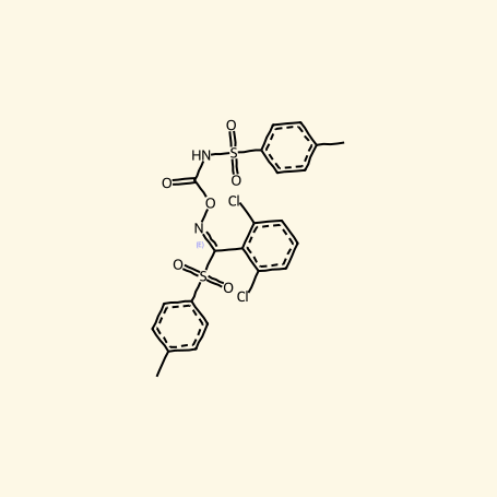 Cc1ccc(S(=O)(=O)NC(=O)O/N=C(\c2c(Cl)cccc2Cl)S(=O)(=O)c2ccc(C)cc2)cc1